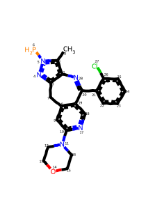 Cc1c2c(nn1P)Cc1cc(N3CCOCC3)ncc1C(c1ccccc1Cl)=N2